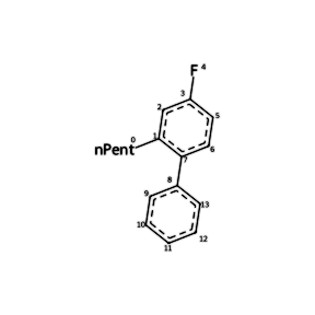 CCCCCc1cc(F)ccc1-c1ccccc1